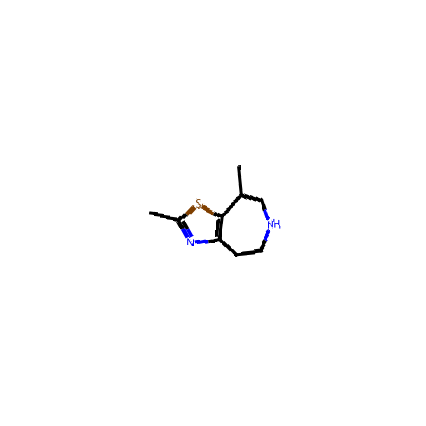 Cc1nc2c(s1)C(C)CNCC2